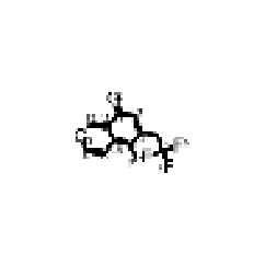 Cc1c(CC(F)(F)F)cc(=O)c2coccc1-2